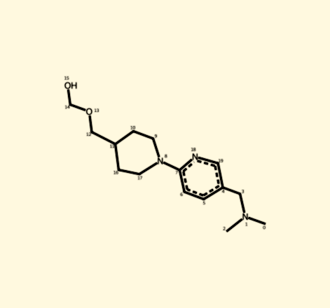 CN(C)Cc1ccc(N2CCC(COCO)CC2)nc1